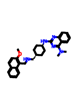 COc1ccc2ccccc2c1CNC[C@H]1CC[C@@H](Nc2nc(N(C)C)c3ccccc3n2)CC1